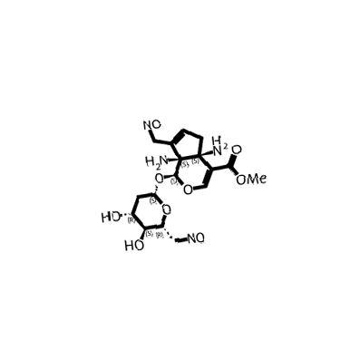 COC(=O)C1=CO[C@@H](O[C@H]2C[C@@H](O)[C@H](O)[C@@H](CN=O)O2)[C@]2(N)C(CN=O)=CC[C@]12N